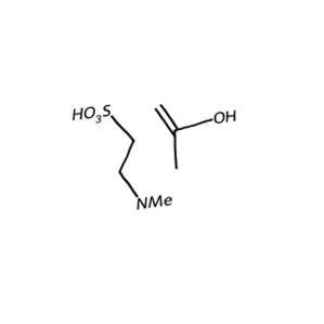 C=C(C)O.CNCCS(=O)(=O)O